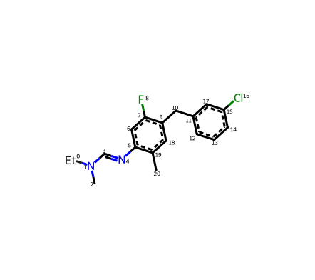 CCN(C)C=Nc1cc(F)c(Cc2cccc(Cl)c2)cc1C